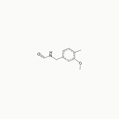 COc1cc(CNC=O)ccc1C